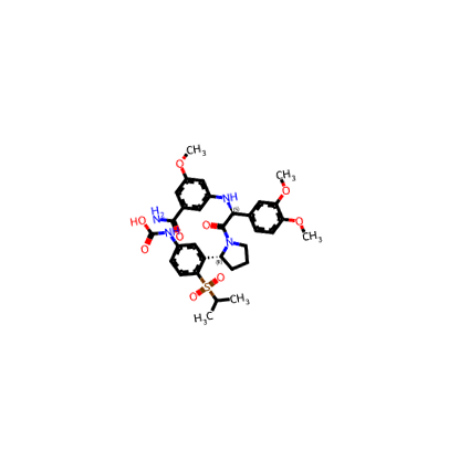 COc1cc(N[C@H](C(=O)N2CCC[C@@H]2c2cc(NC(=O)O)ccc2S(=O)(=O)C(C)C)c2ccc(OC)c(OC)c2)cc(C(N)=O)c1